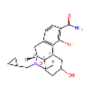 NC(=O)c1ccc2c(c1O)[C@]13CCN(CC4CC4)[C@H](C2)[C@]1(O)CCC(O)C3